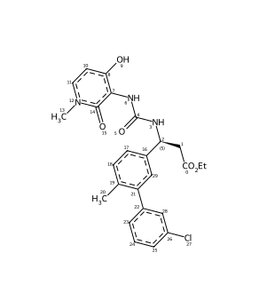 CCOC(=O)C[C@H](NC(=O)Nc1c(O)ccn(C)c1=O)c1ccc(C)c(-c2cccc(Cl)c2)c1